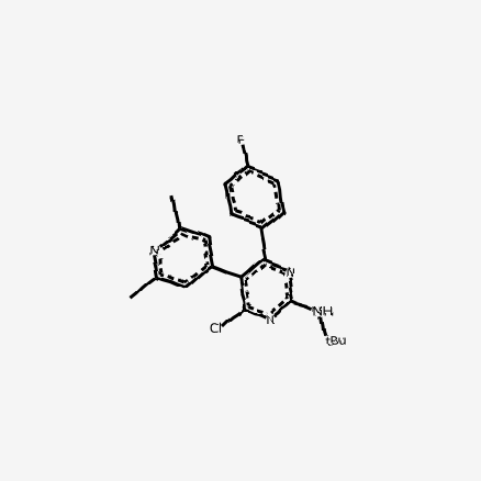 Cc1cc(-c2c(Cl)nc(NC(C)(C)C)nc2-c2ccc(F)cc2)cc(C)n1